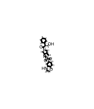 O=C([C@H](CO)c1ccccc1)N1Cc2cn(S(=O)(=O)c3ccc4c(c3)NCCO4)nc2C1